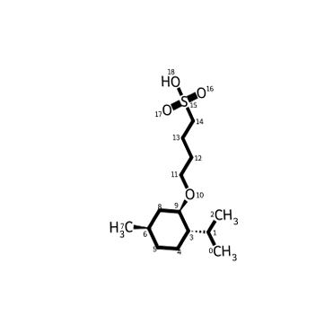 CC(C)[C@@H]1CC[C@@H](C)C[C@H]1OCCCCS(=O)(=O)O